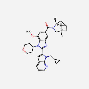 COc1cc(C(=O)N2C[C@H]3CC4C[C@@H]2[C@H]43)cc2nc(-c3cc4cccnc4n3CC3CC3)n(C3CCOCC3)c12